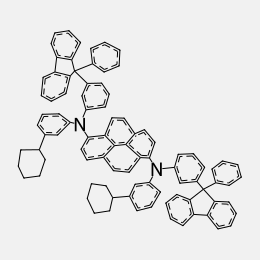 c1ccc(C2(c3cccc(N(c4cccc(C5CCCCC5)c4)c4ccc5ccc6c(N(c7cccc(C8CCCCC8)c7)c7cccc(C8(c9ccccc9)c9ccccc9-c9ccccc98)c7)ccc7ccc4c5c76)c3)c3ccccc3-c3ccccc32)cc1